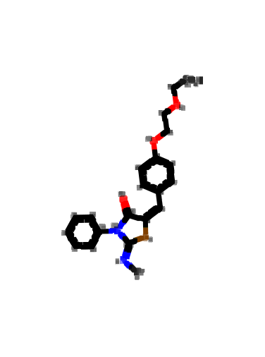 CC(C)/N=C1\SC(=Cc2ccc(OCCOCC(=O)O)cc2)C(=O)N1c1ccccc1